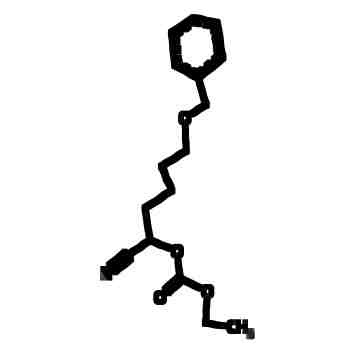 CCOC(=O)OC(C#N)CCCCOCc1ccccc1